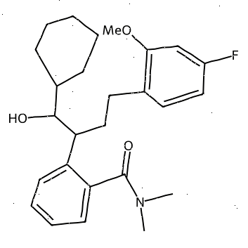 COc1cc(F)ccc1CCC(c1ccccc1C(=O)N(C)C)C(O)C1CCCCC1